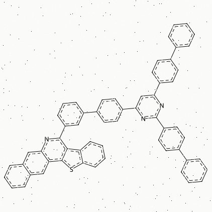 c1ccc(-c2ccc(-c3cc(-c4ccc(-c5cccc(-c6nc7cc8ccccc8cc7c7sc8ccccc8c67)c5)cc4)nc(-c4ccc(-c5ccccc5)cc4)n3)cc2)cc1